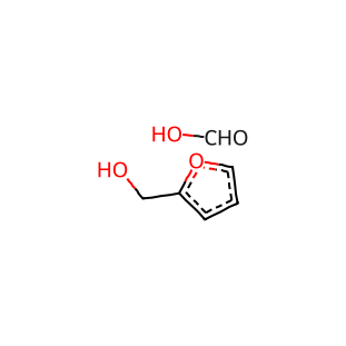 O=CO.OCc1ccco1